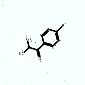 CC(C#N)C(=O)c1ccc(F)cc1